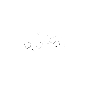 CC1(C)C(=O)N(CCN2CCC(C(=O)c3ccc(F)cc3)CC2)c2ccc(Cl)cc21.Cl